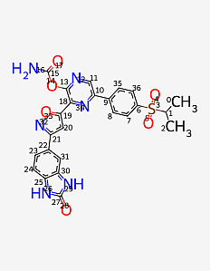 CC(C)S(=O)(=O)c1ccc(-c2cnc(OC(N)=O)c(-c3cc(-c4ccc5[nH]c(=O)[nH]c5c4)no3)n2)cc1